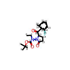 CCN(C(=O)OC(C)(C)C)N1C(=O)CCC1C(=O)c1c(C)cccc1F